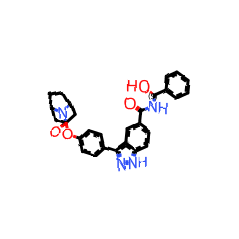 O=CN1C2CCC1CC(Oc1ccc(-c3n[nH]c4ccc(C(=O)N[C@@H](O)c5ccccc5)cc34)cc1)C2